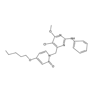 CCCCCOc1ccn(Cc2nc(Nc3ccccc3)nc(OC)c2Cl)c(=O)c1